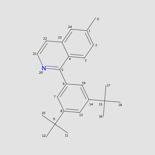 Cc1ccc2c(-c3cc(C(C)(C)C)cc(C(C)(C)C)c3)nccc2c1